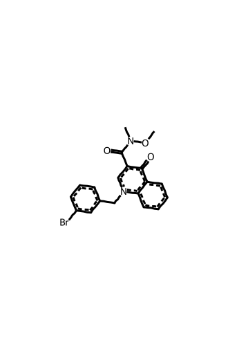 CON(C)C(=O)c1cn(Cc2cccc(Br)c2)c2ccccc2c1=O